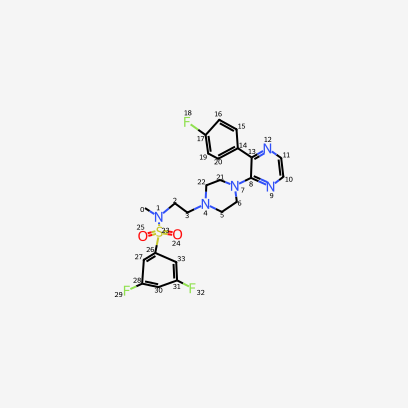 CN(CCN1CCN(c2nccnc2-c2ccc(F)cc2)CC1)S(=O)(=O)c1cc(F)cc(F)c1